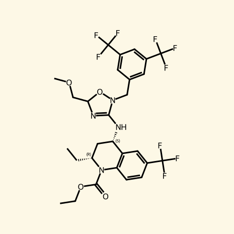 CCOC(=O)N1c2ccc(C(F)(F)F)cc2[C@@H](NC2=NC(COC)ON2Cc2cc(C(F)(F)F)cc(C(F)(F)F)c2)C[C@H]1CC